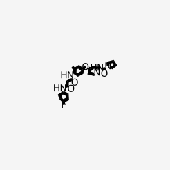 Cc1cc(Oc2ccnc(NC(=O)N3CCCC3)c2)ccc1NC(=O)CC(=O)Nc1ccc(F)cc1